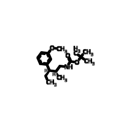 CC[C@@H](c1cccc(OC)c1)[C@@H](C)CNC(=O)OC(C)(C)C